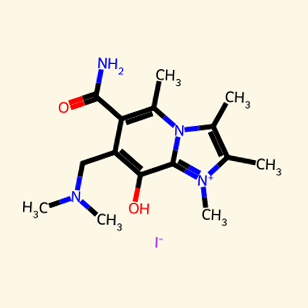 Cc1c(C(N)=O)c(CN(C)C)c(O)c2n1c(C)c(C)[n+]2C.[I-]